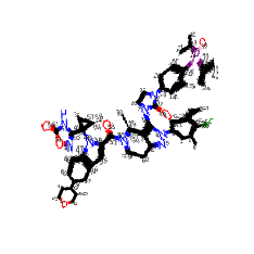 Cc1cc(-n2nc3c(c2-n2ccn(-c4ccc(P(=O)(C(C)C)C(C)C)cc4)c2=O)[C@H](C)N(C(=O)c2cc4cc(C5CCOCC5)ccc4n2[C@@]2(c4noc(=O)[nH]4)C[C@@H]2C)CC3)cc(C)c1F